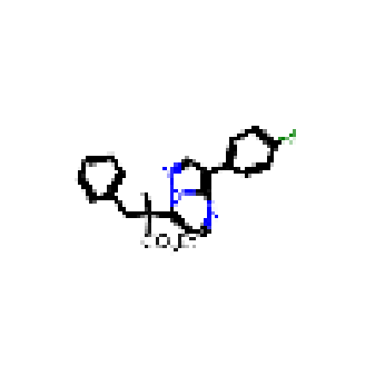 CCOC(=O)C(C)(Cc1ccccc1)c1ccnc2c(-c3ccc(Br)cc3)cnn12